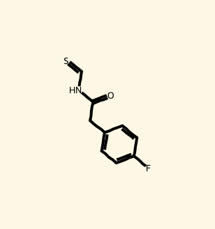 O=C(Cc1ccc(F)cc1)NC=S